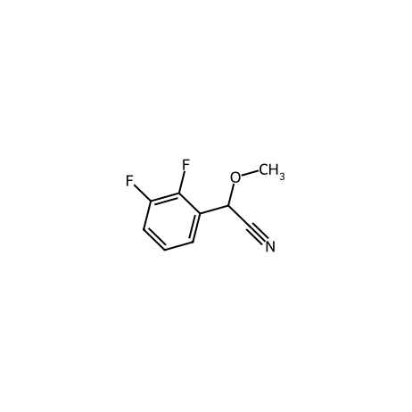 COC(C#N)c1cccc(F)c1F